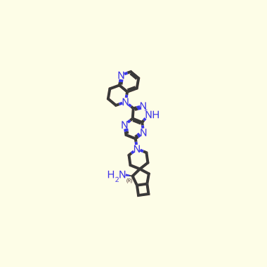 N[C@@H]1C2CCC2CC12CCN(c1cnc3c(N4CCCc5ncccc54)n[nH]c3n1)CC2